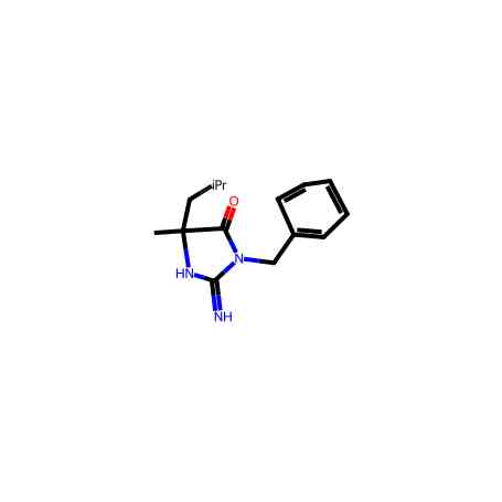 CC(C)CC1(C)NC(=N)N(Cc2ccccc2)C1=O